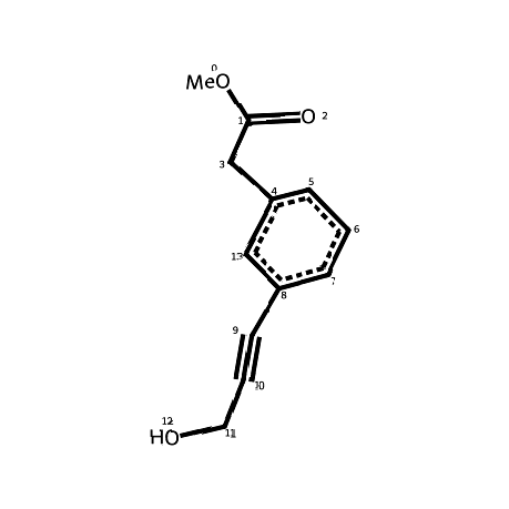 COC(=O)Cc1cccc(C#CCO)c1